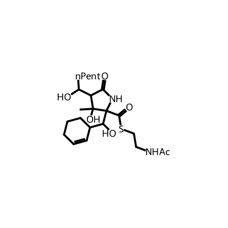 CCCCCC(O)C1C(=O)NC(C(=O)SCCNC(C)=O)(C(O)C2C=CCCC2)C1(C)O